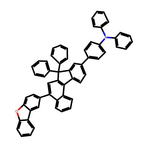 c1ccc(N(c2ccccc2)c2ccc(-c3ccc4c(c3)C(c3ccccc3)(c3ccccc3)c3cc(-c5ccc6oc7ccccc7c6c5)c5ccccc5c3-4)cc2)cc1